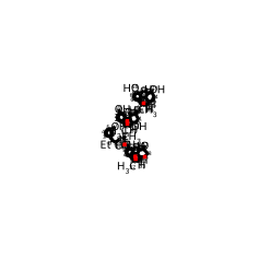 CC[C@@H](c1cccc(O)c1)[C@@H](C)CN(C)C.CN1CC[C@]23c4c5ccc(O)c4O[C@H]2C(=O)CC[C@@]3(O)[C@H]1C5.CN1CC[C@]23c4c5ccc(O)c4O[C@H]2C(=O)CC[C@H]3[C@H]1C5.CN1CC[C@]23c4c5ccc(O)c4O[C@H]2[C@@H](O)C=C[C@H]3[C@H]1C5